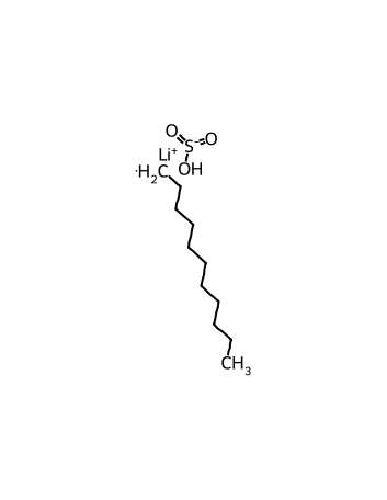 O=[S-](=O)O.[CH2]CCCCCCCCCC.[Li+]